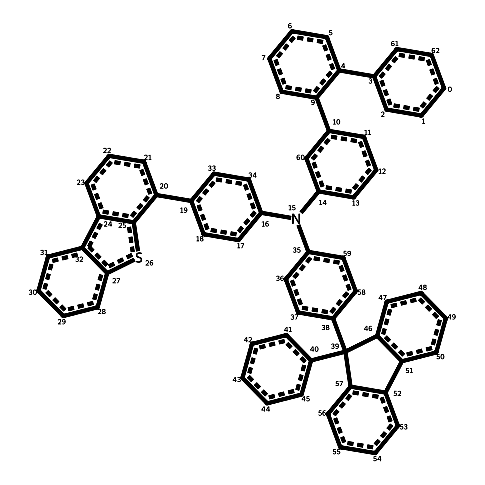 c1ccc(-c2ccccc2-c2cccc(N(c3ccc(-c4cccc5c4sc4ccccc45)cc3)c3ccc(C4(c5ccccc5)c5ccccc5-c5ccccc54)cc3)c2)cc1